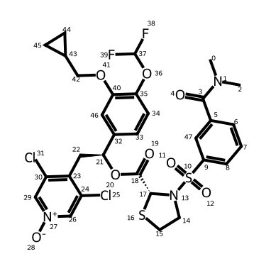 CN(C)C(=O)c1cccc(S(=O)(=O)N2CCS[C@@H]2C(=O)O[C@@H](Cc2c(Cl)c[n+]([O-])cc2Cl)c2ccc(OC(F)F)c(OCC3CC3)c2)c1